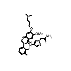 COc1cc2c(cc1OCCCN(C)C)=NCN(c1cccc(F)c1F)C=2Nc1cnn(CC(N)=O)c1